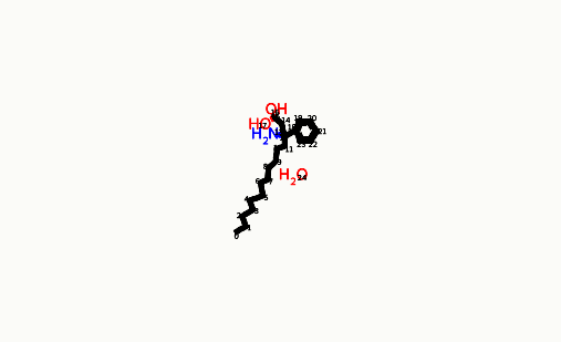 CCCCCCCCCCCCC(N)(CC(O)O)c1ccccc1.O